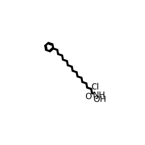 O=C(NO)C(Cl)CCCCCCCCCCCCCCc1ccccc1